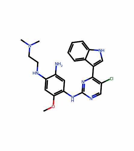 COc1cc(NCCN(C)C)c(N)cc1Nc1ncc(Cl)c(-c2c[nH]c3ccccc23)n1